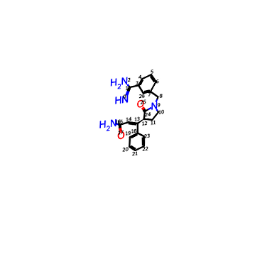 N=C(N)c1cccc(CN2CC[C@@H](C(=CC(N)=O)c3ccccc3)C2=O)c1